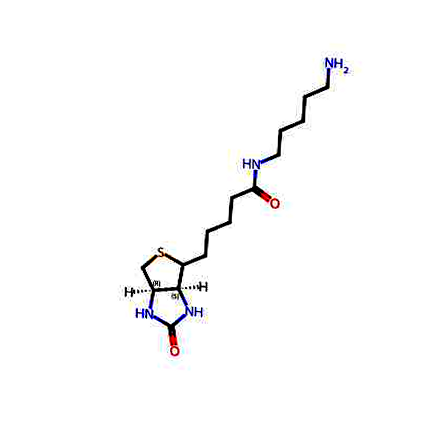 NCCCCCNC(=O)CCCCC1SC[C@@H]2NC(=O)N[C@H]12